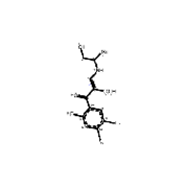 CC(C)(C)C(CO)N/C=C(\C(=O)O)C(=O)c1cc(I)c(F)nc1F